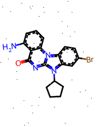 Nc1cccc2c1c(=O)nc1n(C3CCCC3)c3cc(Br)ccc3n21